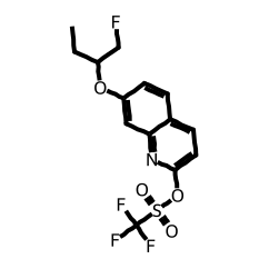 CCC(CF)Oc1ccc2ccc(OS(=O)(=O)C(F)(F)F)nc2c1